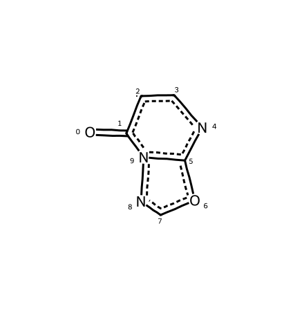 O=c1[c]cnc2ocnn12